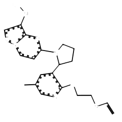 CNc1cnn2ccc(N3CCCC3c3cc(F)cnc3OCCNC=O)nc12